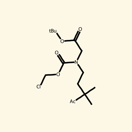 CC(=O)C(C)(C)CCN(CC(=O)OC(C)(C)C)C(=O)OCCl